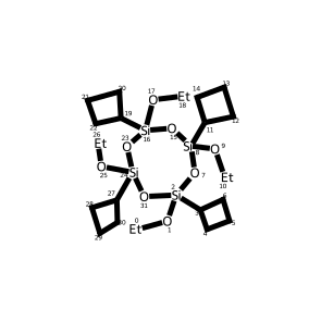 CCO[Si]1(C2CCC2)O[Si](OCC)(C2CCC2)O[Si](OCC)(C2CCC2)O[Si](OCC)(C2CCC2)O1